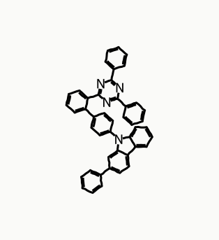 c1ccc(-c2ccc3c4ccccc4n(-c4ccc(-c5ccccc5-c5nc(-c6ccccc6)nc(-c6ccccc6)n5)cc4)c3c2)cc1